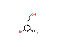 Cc1cc(Br)cc(CCCO)c1